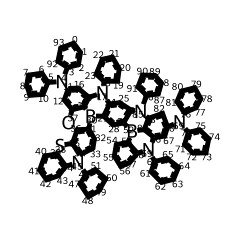 c1ccc(N(c2ccccc2)c2cc3c4c(c2)N(c2ccccc2)c2cc5c(cc2B4c2ccc4c(c2O3)Sc2ccccc2N4c2ccccc2)B2c3ccccc3N(c3ccccc3)c3cc(N(c4ccccc4)c4ccccc4)cc(c32)N5c2ccccc2)cc1